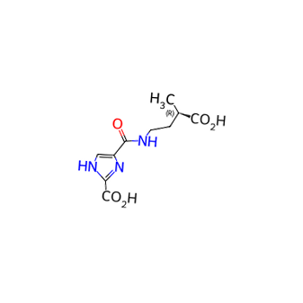 C[C@H](CCNC(=O)c1c[nH]c(C(=O)O)n1)C(=O)O